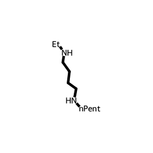 [CH2]CCCCNCCCCNCC